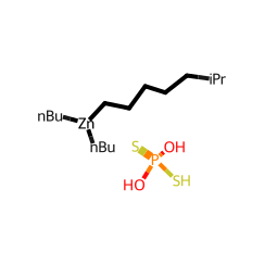 CCC[CH2][Zn]([CH2]CCC)[CH2]CCCCC(C)C.OP(O)(=S)S